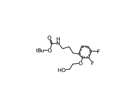 CC(C)(C)OC(=O)NCCCc1ccc(F)c(F)c1OCCO